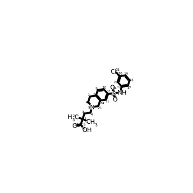 CC(C)(CCN1CCc2ccc(S(=O)(=O)Nc3cccc(Cl)c3)cc2C1)C(=O)O